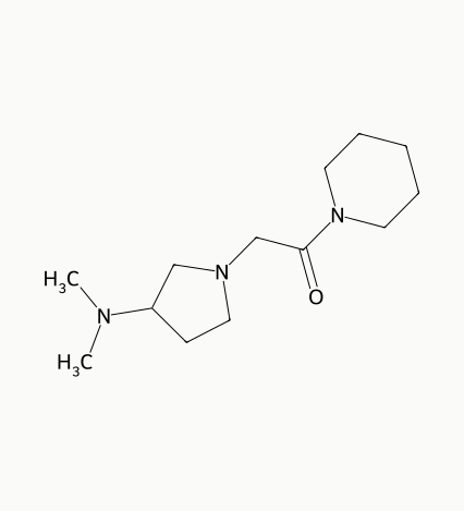 CN(C)C1CCN(CC(=O)N2CCCCC2)C1